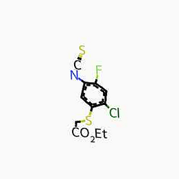 CCOC(=O)CSc1cc(N=C=S)c(F)cc1Cl